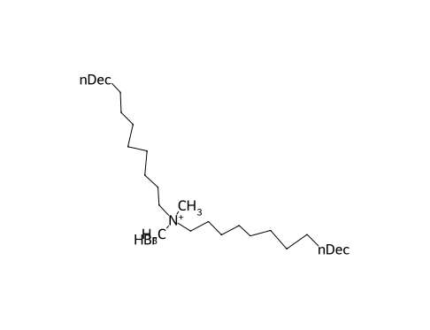 Br.CCCCCCCCCCCCCCCCCC[N+](C)(C)CCCCCCCCCCCCCCCCCC